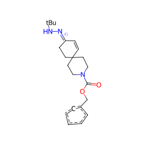 CC(C)(C)N/N=C1/C=CC2(CC1)CCN(C(=O)OCc1ccccc1)CC2